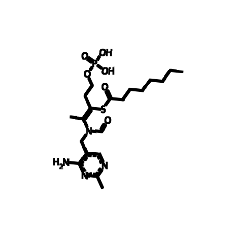 CCCCCCCC(=O)S/C(CCOP(=O)(O)O)=C(/C)N(C=O)Cc1cnc(C)nc1N